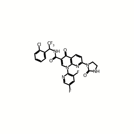 O=C(NC(c1ccccc1Cl)C(F)(F)F)c1cn(-c2ncc(F)cc2F)c2nc(N3CCNC3=O)ccc2c1=O